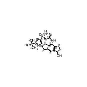 CC(C)(O)c1ncc([S@](N)(=O)=NC(=O)Nc2c3c(cc4c2CCC4O)CCC3)s1